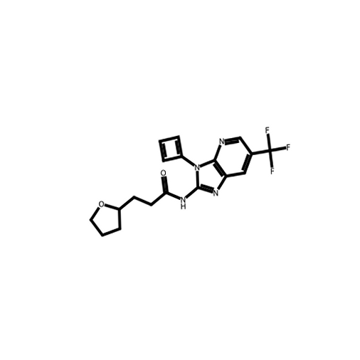 O=C(CCC1CCCO1)Nc1nc2cc(C(F)(F)F)cnc2n1C1=CC=C1